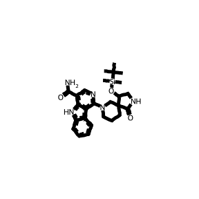 CC(C)(C)[Si](C)(C)OC1CNC(=O)C12CCCN(c1ncc(C(N)=O)c3[nH]c4ccccc4c13)C2